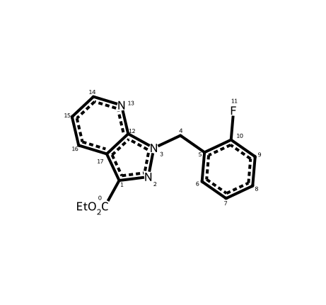 CCOC(=O)c1nn(Cc2ccccc2F)c2ncccc12